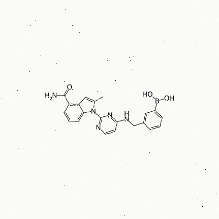 Cc1cc2c(C(N)=O)cccc2n1-c1nccc(NCc2cccc(B(O)O)c2)n1